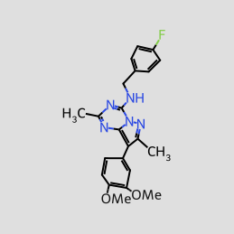 COc1ccc(-c2c(C)nn3c(NCc4ccc(F)cc4)nc(C)nc23)cc1OC